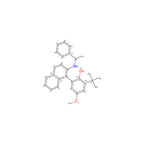 COc1cc(-c2c(NC(C)c3ccccc3)ccc3ccccc23)c(O)c(C(C)(C)C)c1